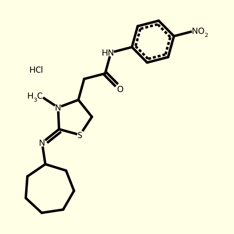 CN1C(=NC2CCCCCC2)SCC1CC(=O)Nc1ccc([N+](=O)[O-])cc1.Cl